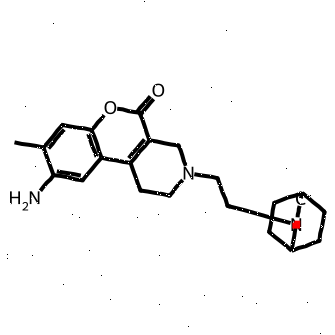 Cc1cc2oc(=O)c3c(c2cc1N)CCN(CCN1CC2CCC(CC2)C1)C3